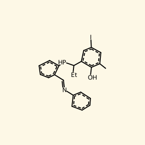 CCC(Pc1ccccc1/C=N/c1ccccc1)c1cc(I)cc(C)c1O